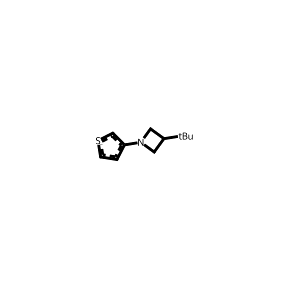 CC(C)(C)C1CN(c2ccsc2)C1